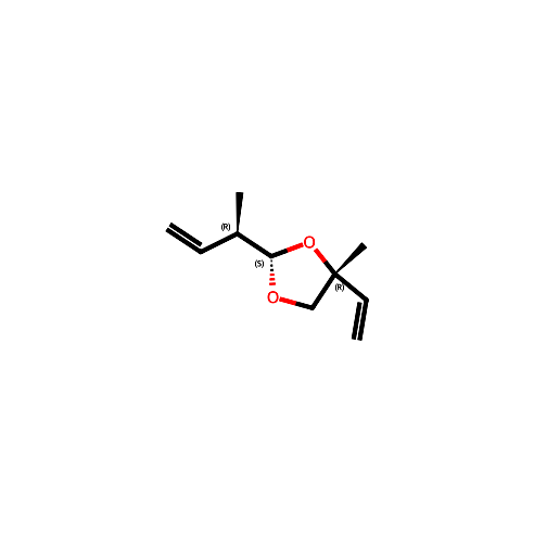 C=C[C@@H](C)[C@H]1OC[C@@](C)(C=C)O1